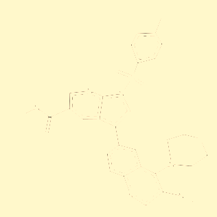 CNC(=O)c1cnc2c(c1)c(-c1ccc3ncc(N)c(N4CCOCC4)c3c1)cn2S(=O)(=O)c1ccc(C)cc1